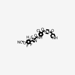 Cn1c(-c2ccc(OCC#N)c(F)c2F)cnc1C(=O)Nc1ccc(C(=O)N2CCN(C(=O)C3CCNCC3)CC2)c(Cl)c1